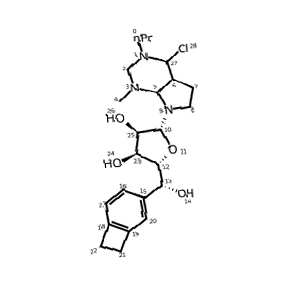 CCCN1CN(C)C2C(CCN2[C@@H]2O[C@H]([C@H](O)c3ccc4c(c3)CC4)[C@@H](O)[C@H]2O)C1Cl